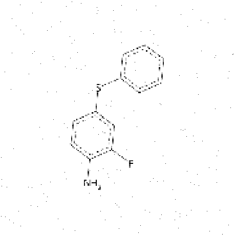 Nc1ccc(Sc2ccccc2)cc1F